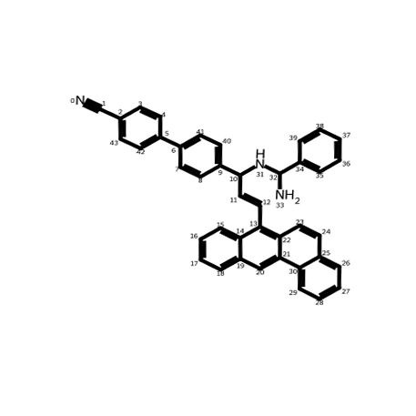 N#Cc1ccc(-c2ccc(C(/C=C/c3c4ccccc4cc4c3ccc3ccccc34)NC(N)c3ccccc3)cc2)cc1